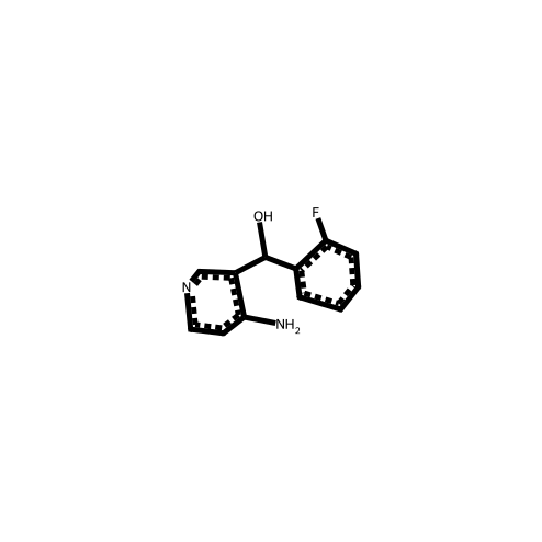 Nc1ccncc1C(O)c1ccccc1F